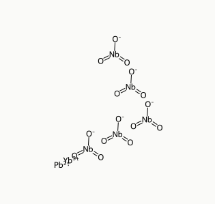 [O]=[Nb](=[O])[O-].[O]=[Nb](=[O])[O-].[O]=[Nb](=[O])[O-].[O]=[Nb](=[O])[O-].[O]=[Nb](=[O])[O-].[Pb+2].[Yb+3]